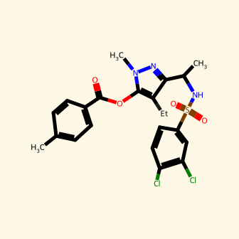 CCc1c(C(C)NS(=O)(=O)c2ccc(Cl)c(Cl)c2)nn(C)c1OC(=O)c1ccc(C)cc1